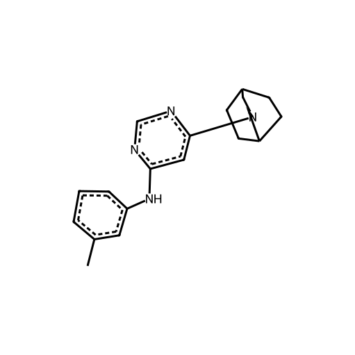 Cc1cccc(Nc2cc(N3CC4CCC(CC4)C3)ncn2)c1